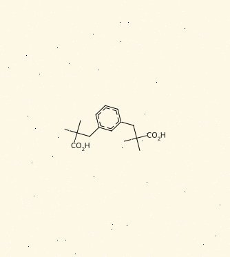 CC(C)(Cc1cccc(CC(C)(C)C(=O)O)c1)C(=O)O